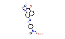 CCN(CCO)c1ccc(N=Nc2ccc3c4c2cccc4c(=O)c2n3cc[n+]2C)cc1